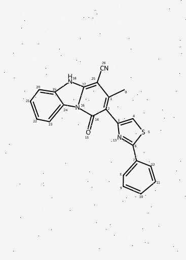 Cc1c(-c2csc(-c3ccccc3)n2)c(=O)n2c([nH]c3ccccc32)c1C#N